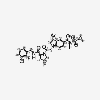 CC(=O)c1cn(CC(=O)N2C[C@H](F)C[C@H]2C(=O)NCc2cccc(Cl)c2F)c2ccc(C(=O)NS(=O)(=O)C3CC3)cc12